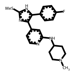 CSc1nc(-c2ccnc(NC3CCN(C)CC3)c2)c(-c2ccc(F)cc2)[nH]1